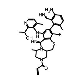 C=CC(=O)N1CC(C)N2C(=N)c3c(Nc4c(C)ccnc4C(C)O)cc(-c4c(C)ccc(N)c4C=N)c(F)c3SCC2C1